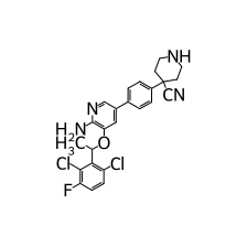 CC(Oc1cc(-c2ccc(C3(C#N)CCNCC3)cc2)cnc1N)c1c(Cl)ccc(F)c1Cl